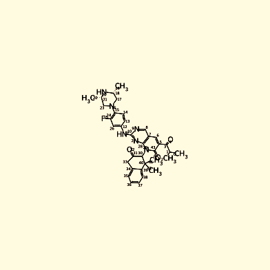 CC(C)C(=O)c1cc2cnc(Nc3ccc(N4C[C@@H](C)N[C@@H](C)C4)c(F)c3)nc2n(C2C(=O)Cc3ccccc3C2(C)C)c1=O